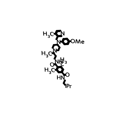 COc1ccc(N(Cc2cnccc2C)C2CCN([C@H](C)CCNC(=O)c3c(C)cc(C(=O)NCCC(C)C)cc3C)CC2)cc1